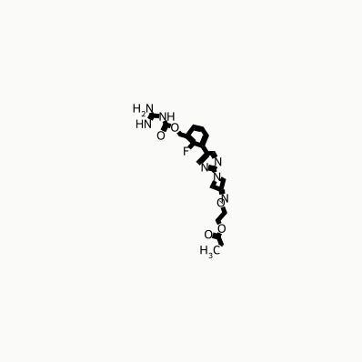 CCC(=O)OCCON=C1CN(c2ncc(-c3cccc(COC(=O)NC(=N)N)c3F)cn2)C1